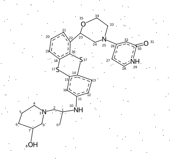 CC(CN1CCCC(O)C1)Nc1ccc2c(c1)Sc1cccc(C3CN(c4cc[nH]c(=O)c4)CCO3)c1S2